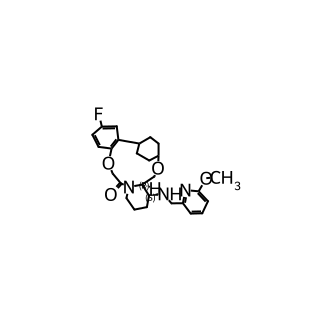 COc1cccc(CN[C@H]2CCCN3C(=O)COc4ccc(F)cc4C4CCC(CC4)OC[C@@H]23)n1